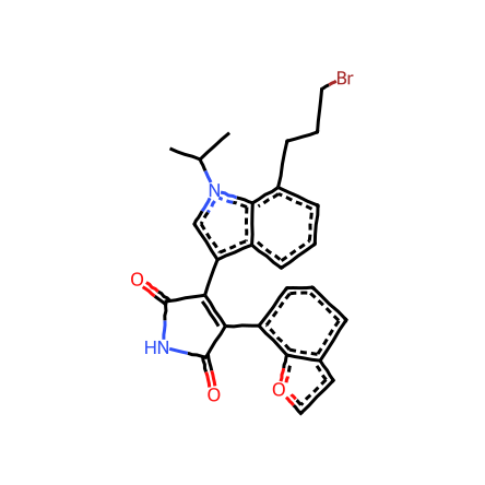 CC(C)n1cc(C2=C(c3cccc4ccoc34)C(=O)NC2=O)c2cccc(CCCBr)c21